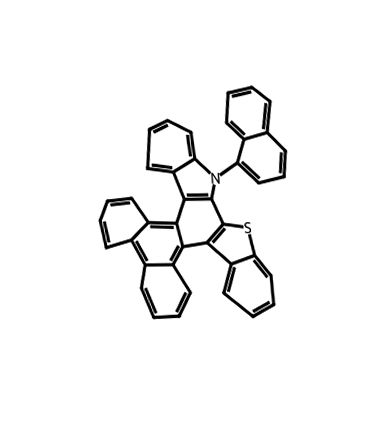 c1ccc2c(-n3c4ccccc4c4c5c6ccccc6c6ccccc6c5c5c6ccccc6sc5c43)cccc2c1